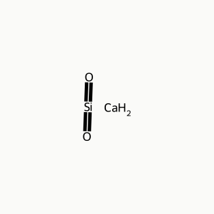 O=[Si]=O.[CaH2]